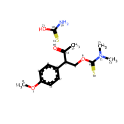 COc1ccc(C(COC(=S)N(C)C)C(C)=O)cc1.NC(O)=S